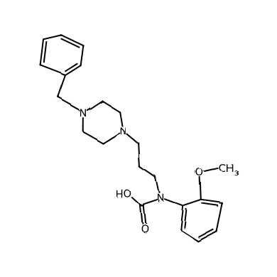 COc1ccccc1N(CCCN1CCN(Cc2ccccc2)CC1)C(=O)O